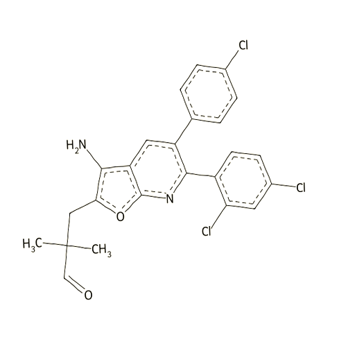 CC(C)(C=O)Cc1oc2nc(-c3ccc(Cl)cc3Cl)c(-c3ccc(Cl)cc3)cc2c1N